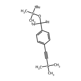 [2H]C([2H])(O[Si](C)(C)C(C)(C)C)c1ccc(C#C[Si](C)(C)C)cc1